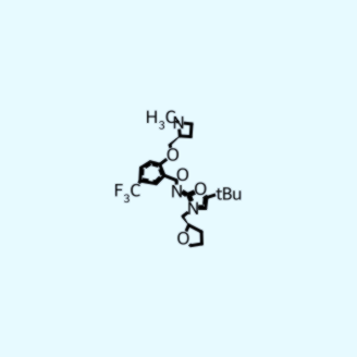 CN1CC[C@H]1COc1ccc(C(F)(F)F)cc1C(=O)N=c1oc(C(C)(C)C)cn1C[C@H]1CCCO1